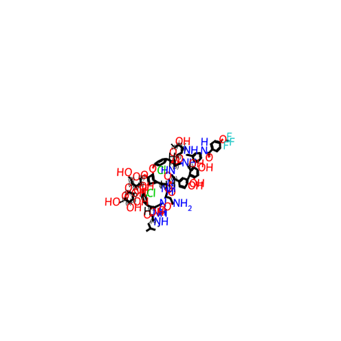 CN[C@H](CC(C)C)C(=O)NC1C(=O)NC(CC(N)=O)C(=O)N[C@H]2C(=O)N[C@H]3C(=O)N[C@H](C(=O)N[C@@H](O)c4cc(O)cc(O)c4-c4cc3ccc4O)[C@H](O[C@H]3C[C@](C)(NCc4cccc(NC(=O)c5ccc(OC(F)(F)F)cc5)c4)[C@@H](O)[C@H](C)O3)c3ccc(c(Cl)c3)Oc3cc2cc(c3O[C@@H]2O[C@H](CO)[C@@H](O[C@@H]3O[C@H](CO)[C@H](O)[C@H](O)[C@H]3O)[C@H](O)[C@H]2O)Oc2ccc(cc2Cl)[C@H]1O